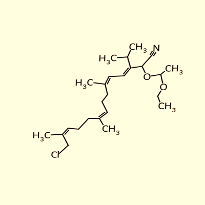 CCOC(C)OC(C#N)C(=CC=C(C)CCC=C(C)CCC=C(C)CCl)C(C)C